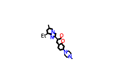 CCc1cc(C)cn2cc(-c3cc4ccc(N5CCN(C)CC5)cc4oc3=O)nc12